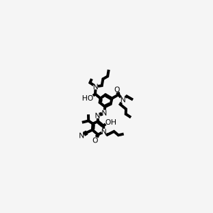 CCCCN(CC)C(=O)c1cc(/N=N/c2c(C(C)C)c(C#N)c(=O)n(CCCC)c2O)cc(C(O)N(CC)CCCC)c1